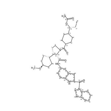 CO[C@H]1CC[C@H]([C@@H]2CCN(C(=O)C3CCC([C@@H](CF)OC(N)=O)CC3)[C@@H]2C(=O)Nc2ccc3[nH]c(C(=O)n4nnc5ccccc54)cc3c2)CC1